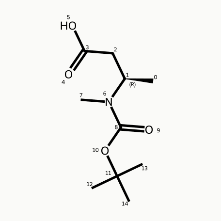 C[C@H](CC(=O)O)N(C)C(=O)OC(C)(C)C